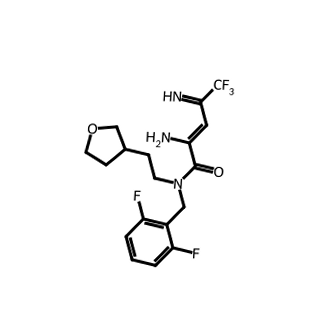 N=C(/C=C(\N)C(=O)N(CCC1CCOC1)Cc1c(F)cccc1F)C(F)(F)F